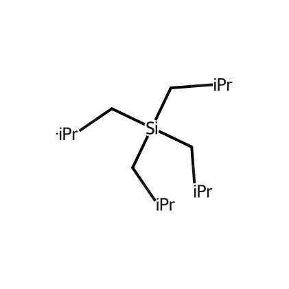 C[C](C)C[Si](CC(C)C)(CC(C)C)CC(C)C